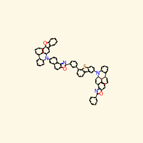 C1=CCC(c2ccccc2N(c2ccc3sc4c(-c5cccc(-c6nc7c(ccc8cc(N(c9ccc%10oc%11ccccc%11c%10c9)c9ccccc9-c9ccccc9)ccc87)o6)c5)cccc4c3c2)C2C=Cc3c(ccc4oc(-c5ccccc5)nc34)C2)C=C1